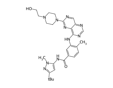 Cc1ccc(C(=O)Nc2cc(C(C)(C)C)nn2C)cc1Nc1ncnc2cnc(N3CCN(CCO)CC3)nc12